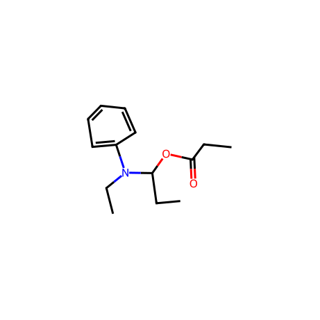 CCC(=O)OC(CC)N(CC)c1ccccc1